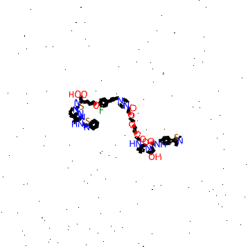 Cc1ncsc1-c1ccc(CNC(=O)[C@@H]2C[C@@H](O)CN2C(=O)[C@@H](NC(=O)COCCOCCOCC(=O)N2CCN(CC#Cc3ccc(OCCCc4sc(N5CCCc6c5nnc(Nc5nc7ccccc7s5)c6C)nc4C(=O)O)c(F)c3)CC2)C(C)(C)C)cc1